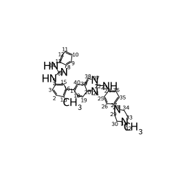 Cc1ccc(Nc2nc3ccccc3[nH]2)cc1-c1ccc2nc(Nc3ccc(N4CCN(C)CC4)cc3)ncc2c1